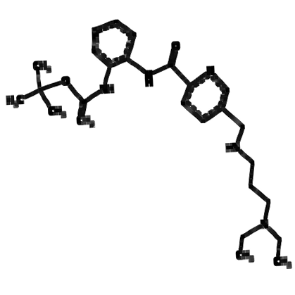 C=C(Nc1ccccc1NC(=O)c1ccc(CNCCCN(CC)CC)cn1)OC(C)(C)C